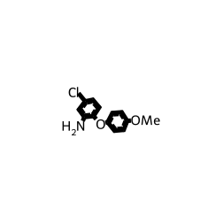 COc1ccc(Oc2ccc(Cl)cc2N)cc1